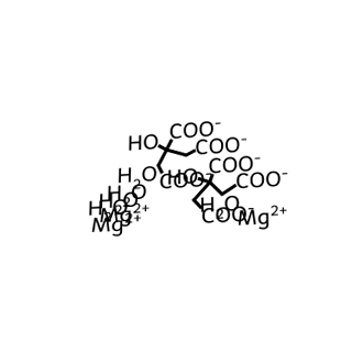 O.O.O.O.O.O=C([O-])CC(O)(CC(=O)[O-])C(=O)[O-].O=C([O-])CC(O)(CC(=O)[O-])C(=O)[O-].[Mg+2].[Mg+2].[Mg+2]